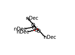 CCCCCCCCCCCCCCCCCCOCC([CH]C[CH]C(COCCCCCCCCCCCCCCCCCC)OCCCCCCCCCCCCCCCCCC)OCCCCCCCCCCCCCCCCCC